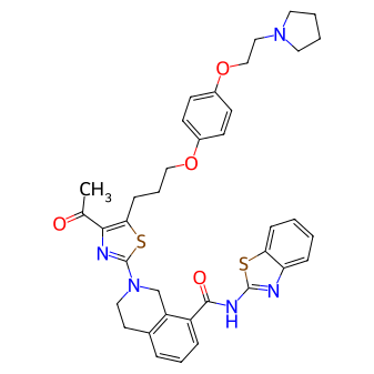 CC(=O)c1nc(N2CCc3cccc(C(=O)Nc4nc5ccccc5s4)c3C2)sc1CCCOc1ccc(OCCN2CCCC2)cc1